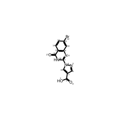 O=C(O)c1cnn(-c2nc3cc(Br)ccc3c(=O)[nH]2)c1